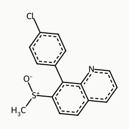 C[S+]([O-])c1ccc2cccnc2c1-c1ccc(Cl)cc1